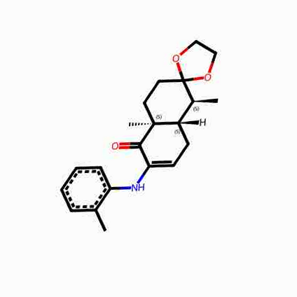 Cc1ccccc1NC1=CC[C@H]2[C@H](C)C3(CC[C@]2(C)C1=O)OCCO3